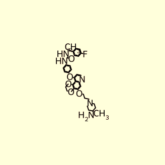 C[C@H](NC(=O)Nc1ccc(Oc2ccnc3cc(OCCCN4CCC(C)(N)CC4)c4c(c23)OCCO4)cc1)c1ccc(F)cc1